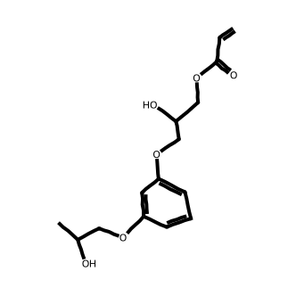 C=CC(=O)OCC(O)COc1cccc(OCC(C)O)c1